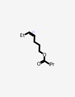 CC/C=C\CCCOC(=O)C(C)C